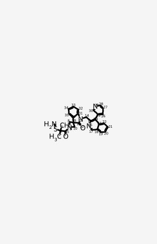 CC(C)(SN)C(=O)N1CC2(C1)C(=O)N(Cc1ncc3ccccc3c1-c1cccnc1)c1ccccc12